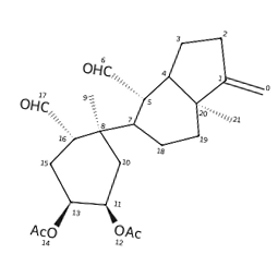 C=C1CCC2[C@@H](C=O)C([C@@]3(C)C[C@@H](OC(C)=O)[C@@H](OC(C)=O)C[C@@H]3C=O)CC[C@]12C